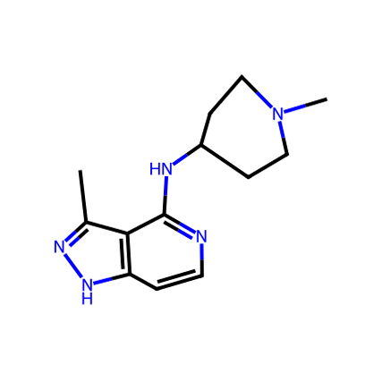 Cc1n[nH]c2ccnc(NC3CCN(C)CC3)c12